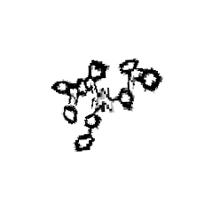 c1ccc(-c2ccc(-c3nc(-c4cccc(-n5c6ccccc6c6ccccc65)c4)nc(-n4c5ccccc5c5cc6c7ccccc7n(-c7ccccc7)c6cc54)n3)cc2)cc1